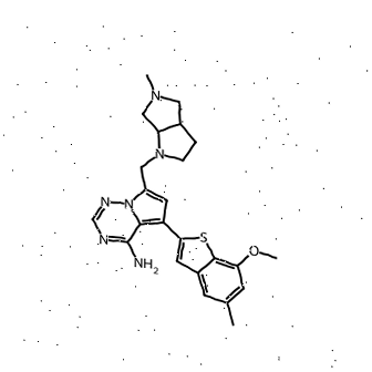 COc1cc(C)cc2cc(-c3cc(CN4CCC5CN(C)CC54)n4ncnc(N)c34)sc12